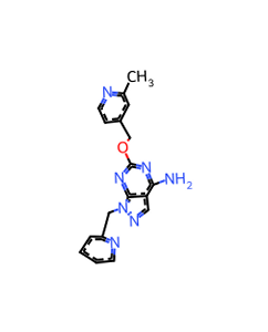 Cc1cc(COc2nc(N)c3cnn(Cc4ccccn4)c3n2)ccn1